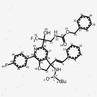 CC(C)(C)[S+]([O-])NC1(/C=C/c2ccccc2)COc2c1cc(C(O)(CNC(=O)OCc1ccccc1)C(F)(F)F)nc2-c1ccc(F)cc1